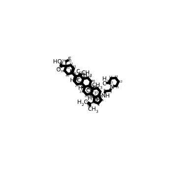 C=C(C)[C@@H]1CC[C@]2(NCCN3CCCCC3C)CC[C@]3(C)[C@H](CC[C@@H]4[C@@]5(C)CC=C(C6=CC[C@@](CF)(C(=O)O)CC6)C(C)(C)[C@@H]5CC[C@]43C)[C@@H]12